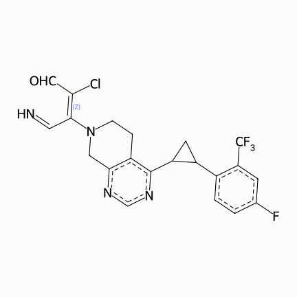 N=C/C(=C(/Cl)C=O)N1CCc2c(ncnc2C2CC2c2ccc(F)cc2C(F)(F)F)C1